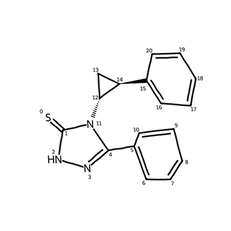 S=c1[nH]nc(-c2ccccc2)n1[C@@H]1C[C@H]1c1ccccc1